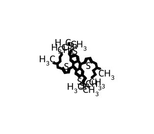 CCCCC(CC)Cc1ccc(-c2c3cc4c[c]([Sn]([CH3])([CH3])[CH3])sc4cc3c(-c3ccc(CC(CC)CCCC)s3)c3cc4c[c]([Sn]([CH3])([CH3])[CH3])sc4cc23)s1